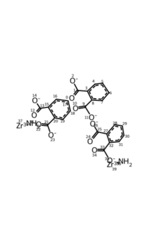 O=C([O-])c1ccccc1C(=O)[O-].O=C([O-])c1ccccc1C(=O)[O-].O=C([O-])c1ccccc1C(=O)[O-].[NH2][Zr+3].[NH2][Zr+3]